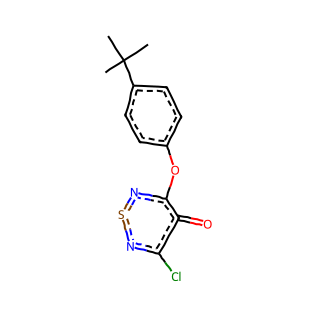 CC(C)(C)c1ccc(Oc2nsnc(Cl)c2=O)cc1